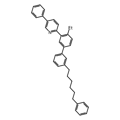 CCc1ccc(-c2cccc(CCCCCCc3ccccc3)c2)cc1-c1ccc(-c2ccccc2)cn1